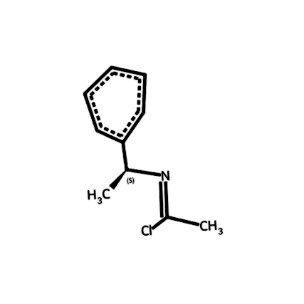 CC(Cl)=N[C@@H](C)c1ccccc1